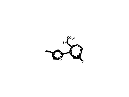 Cc1csc(-c2cc(F)ccc2NC(=O)O)c1